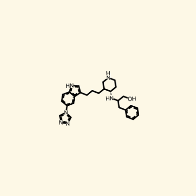 OCC(Cc1ccccc1)N[C@H]1CCNCC1CCCc1c[nH]c2ccc(-n3cnnc3)cc12